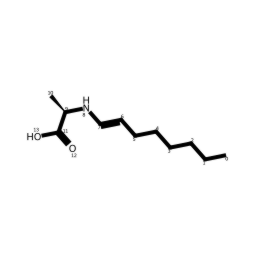 CCCCCCC=CN[C@H](C)C(=O)O